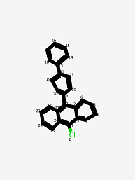 Clc1c2ccccc2c(-c2ccc(-c3ccccc3)cc2)c2ccccc12